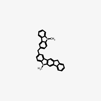 Cn1c2ccccc2c2cc(Cc3ccc4c(c3)c3cc5c(cc3n4C)-c3ccccc3C5)ccc21